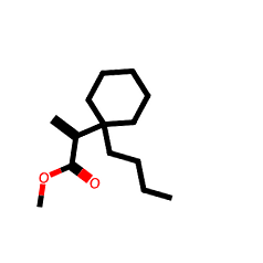 C=C(C(=O)OC)C1(CCCC)CCCCC1